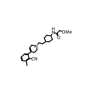 COCC(=O)NC1CCC(CCN2CC=C(c3cccc(C)c3C#N)CC2)CC1